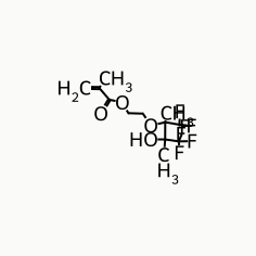 C=C(C)C(=O)OCCOC(C)(C(F)(F)F)C(C)(O)C(F)(F)F